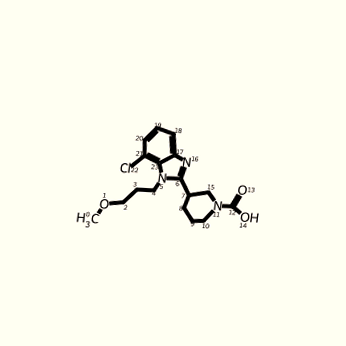 COCCCn1c(C2CCCN(C(=O)O)C2)nc2cccc(Cl)c21